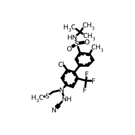 CSCN(NC#N)c1cc(Cl)c(-c2ccc(C)c(S(=O)(=O)NC(C)(C)C)c2)c(C(F)(F)F)c1